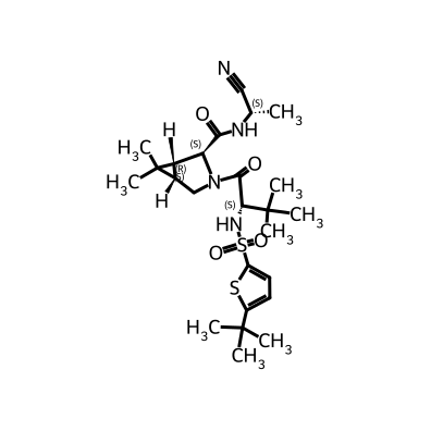 C[C@@H](C#N)NC(=O)[C@@H]1[C@@H]2[C@H](CN1C(=O)[C@@H](NS(=O)(=O)c1ccc(C(C)(C)C)s1)C(C)(C)C)C2(C)C